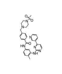 Cc1ccc(NC(=O)c2ccc(CN3CCN(S(C)(=O)=O)CC3)cc2)cc1Nc1nccc(-c2cccnc2)n1